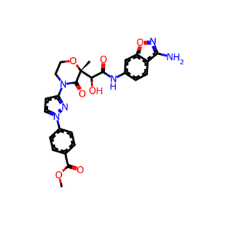 COC(=O)c1ccc(-n2ccc(N3CCO[C@](C)(C(O)C(=O)Nc4ccc5c(N)noc5c4)C3=O)n2)cc1